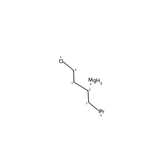 CC(C)CCCCCl.[MgH2]